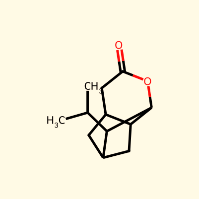 CC(C)C1C2CC3CC(=O)OC1C3C2